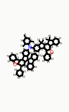 Cc1cc(C)c(N(c2ccc3c(c2)C(C)(C)c2c4c(c5oc6ccccc6c5c2-3)-c2ccccc2C4(C)C)c2ccc3c(c2)C2(c4ccccc4-c4ccccc42)c2cc(-c4ccccc4)c4oc5ccccc5c4c2-3)c(C)c1